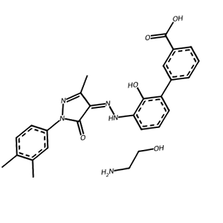 CC1=NN(c2ccc(C)c(C)c2)C(=O)C1=NNc1cccc(-c2cccc(C(=O)O)c2)c1O.NCCO